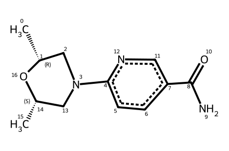 C[C@@H]1CN(c2ccc(C(N)=O)cn2)C[C@H](C)O1